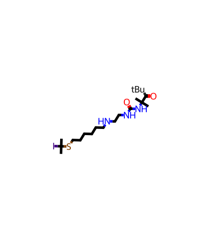 CC(C)(I)SCCCCCCNCCNC(=O)NC(C)(C)C(=O)C(C)(C)C